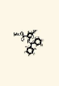 COC(=O)c1cc(Br)oc1N=C(c1ccccc1)c1ccccc1